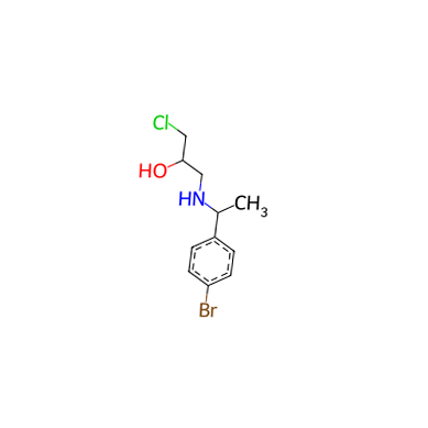 CC(NCC(O)CCl)c1ccc(Br)cc1